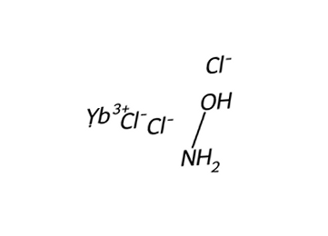 NO.[Cl-].[Cl-].[Cl-].[Yb+3]